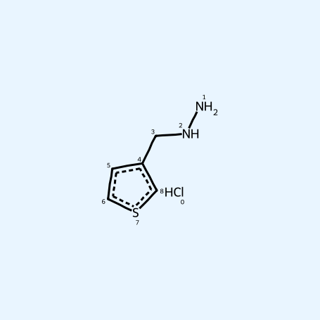 Cl.NNCc1ccsc1